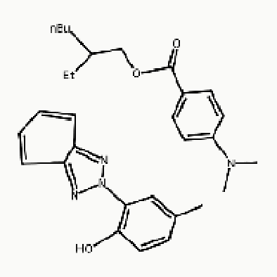 CCCCC(CC)COC(=O)c1ccc(N(C)C)cc1.Cc1ccc(O)c(-n2nc3ccccc3n2)c1